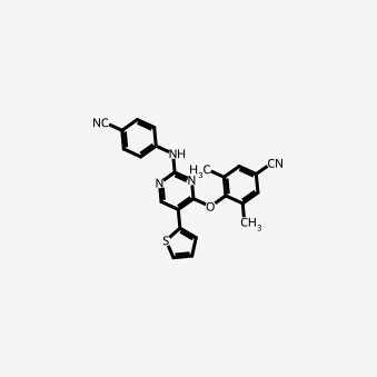 Cc1cc(C#N)cc(C)c1Oc1nc(Nc2ccc(C#N)cc2)ncc1-c1cccs1